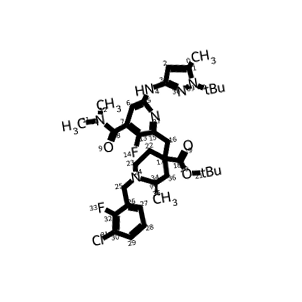 Cc1cc(Nc2cc(C(=O)N(C)C)c(F)c(CC3(C(=O)OC(C)(C)C)CCN(Cc4cccc(Cl)c4F)[C@H](C)C3)n2)nn1C(C)(C)C